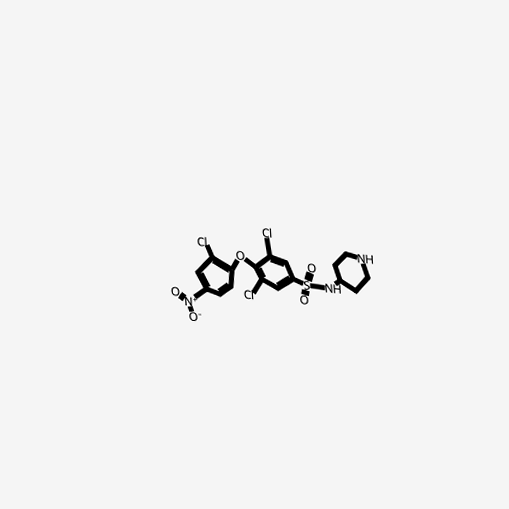 O=[N+]([O-])c1ccc(Oc2c(Cl)cc(S(=O)(=O)NC3CCNCC3)cc2Cl)c(Cl)c1